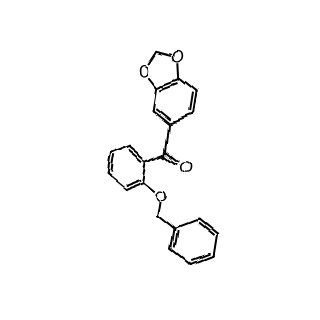 O=C(c1ccc2c(c1)OCO2)c1ccccc1OCc1ccccc1